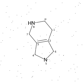 C1CC2=C(C[N]C2)CN1